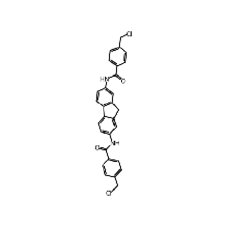 O=C(Nc1ccc2c(c1)Cc1cc(NC(=O)c3ccc(CCl)cc3)ccc1-2)c1ccc(CCl)cc1